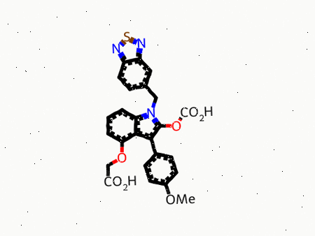 COc1ccc(-c2c(OC(=O)O)n(Cc3ccc4nsnc4c3)c3cccc(OCC(=O)O)c23)cc1